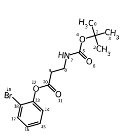 CC(C)(C)OC(=O)NCCC(=O)Oc1ccccc1Br